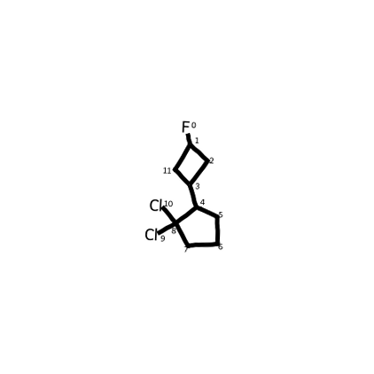 FC1CC([C]2CCCC2(Cl)Cl)C1